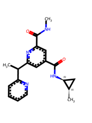 CNC(=O)c1cc(C(=O)N[C@H]2C[C@@H]2C)cc(C(C)c2ccccn2)n1